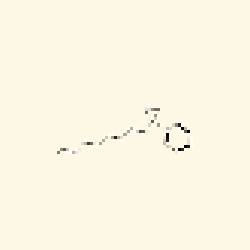 CCCCCCCCCC1(c2cc[c]cc2)CC1